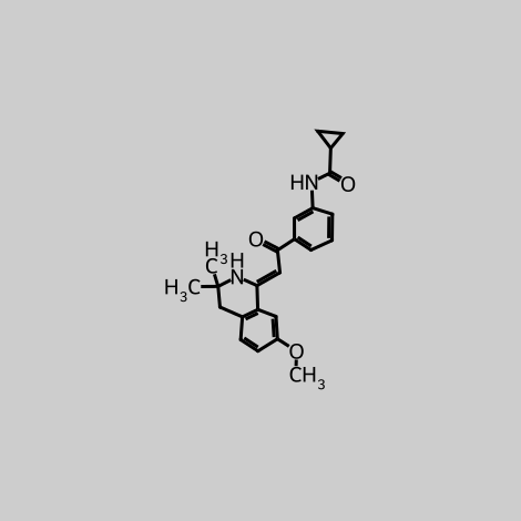 COc1ccc2c(c1)C(=CC(=O)c1cccc(NC(=O)C3CC3)c1)NC(C)(C)C2